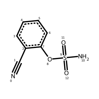 N#Cc1ccccc1OS(N)(=O)=O